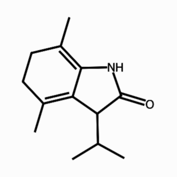 CC1=C2NC(=O)C(C(C)C)C2=C(C)CC1